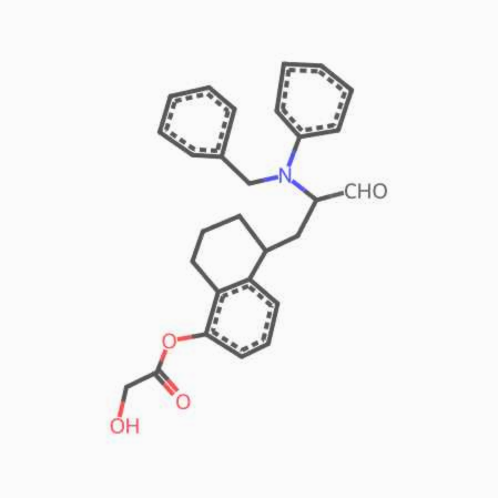 O=CC(CC1CCCc2c(OC(=O)CO)cccc21)N(Cc1ccccc1)c1ccccc1